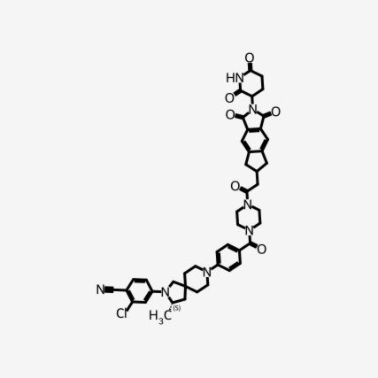 C[C@H]1CC2(CCN(c3ccc(C(=O)N4CCN(C(=O)CC5Cc6cc7c(cc6C5)C(=O)N(C5CCC(=O)NC5=O)C7=O)CC4)cc3)CC2)CN1c1ccc(C#N)c(Cl)c1